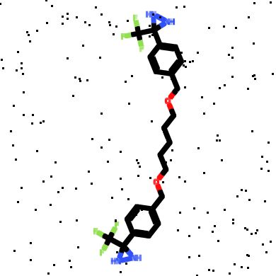 FC(F)(F)C1(c2ccc(COCCCCCOCc3ccc(C4(C(F)(F)F)NN4)cc3)cc2)NN1